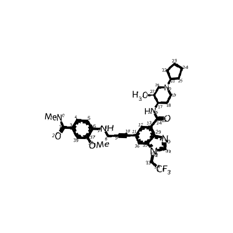 CNC(=O)c1ccc(NCC#Cc2cc(C(=O)NC3CCN(C4CCCC4)C[C@@H]3C)c3ncn(CC(F)(F)F)c3c2)c(OC)c1